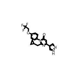 O=c1cc(-c2cn[nH]c2)nc(CC2CC2)n1-c1ccc(OCC(F)(F)F)cc1